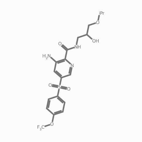 CC(C)OCC(O)CNC(=O)c1ncc(S(=O)(=O)c2ccc(OC(F)(F)F)cc2)cc1N